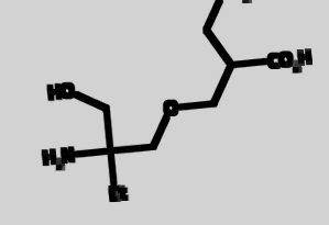 CCC(N)(CO)COCC(CC(=O)O)C(=O)O